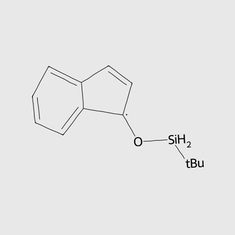 CC(C)(C)[SiH2]O[C]1C=Cc2ccccc21